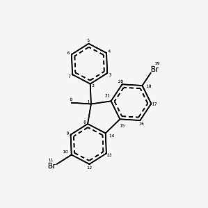 CC1(c2ccccc2)c2cc(Br)ccc2-c2ccc(Br)cc21